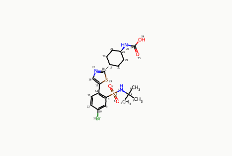 CC(C)(C)NS(=O)(=O)c1cc(Br)ccc1-c1cnc([C@H]2CC[C@H](NC(=O)O)CC2)s1